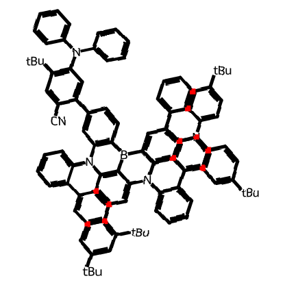 CC(C)(C)C1=CC=C(N(c2ccc(C(C)(C)C)cc2)c2cc3c(cc2-c2c#cccc2)B2c4ccc(-c5cc(N(c6ccccc6)c6ccccc6)c(C(C)(C)C)cc5C#N)cc4N(c4ccccc4-c4ccccc4)c4cc(-c5ccc(C(C)(C)C)cc5C(C)(C)C)cc(c42)N3c2ccccc2-c2ccccc2)CC1